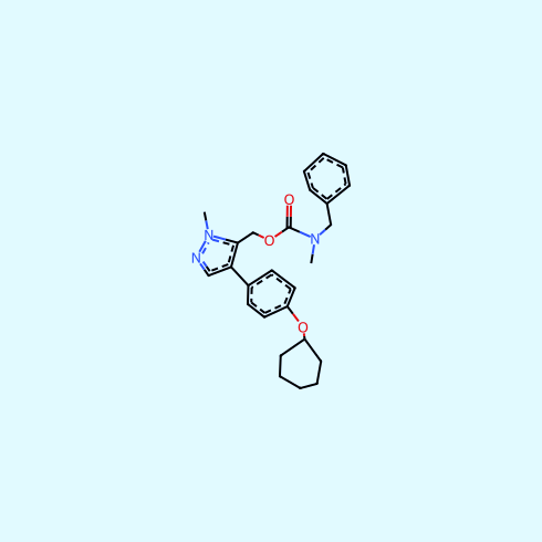 CN(Cc1ccccc1)C(=O)OCc1c(-c2ccc(OC3CCCCC3)cc2)cnn1C